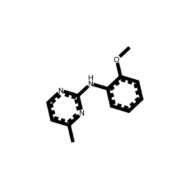 COc1ccccc1Nc1nccc(C)n1